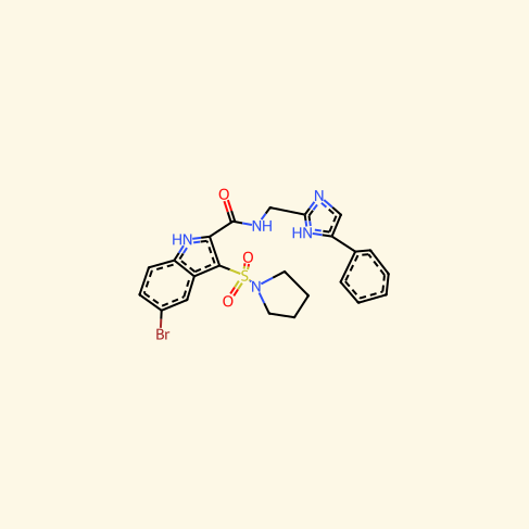 O=C(NCc1ncc(-c2ccccc2)[nH]1)c1[nH]c2ccc(Br)cc2c1S(=O)(=O)N1CCCC1